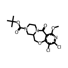 COc1nc(Cl)c(Cl)c2c1C(=O)N1CCN(C(=O)OC(C)(C)C)CC1CO2